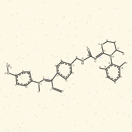 C=N/C(=N\N(C)c1ccc(OC(F)(F)F)cc1)c1ccc(CNC(=O)/N=C2\SCCC(C)N2c2c(C)cccc2C)cc1